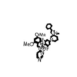 COc1ccc(CN(c2ccncn2)S(=O)(=O)c2c(F)cc(N3CCC[C@@](CCC4CCCCC4)(N(C)C)C3)cc2F)c(OC)c1